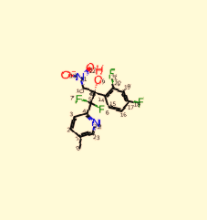 Cc1ccc(C(F)(F)[C@@](O)(C[N+](=O)[O-])c2ccc(F)cc2F)nc1